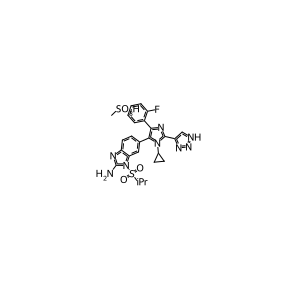 CC(C)S(=O)(=O)n1c(N)nc2ccc(-c3c(-c4ccccc4F)nc(-c4c[nH]nn4)n3C3CC3)cc21.CS(=O)(=O)O